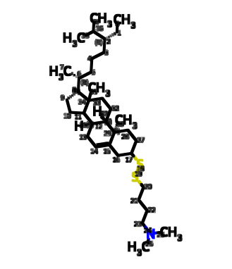 CC[C@H](CCC[C@@H](C)[C@H]1CCC2[C@@H]3CC=C4CC(SSCCCCN(C)C)CC[C@]4(C)[C@H]3CCC21C)C(C)C